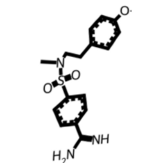 CN(CCc1ccc([O])cc1)S(=O)(=O)c1ccc(C(=N)N)cc1